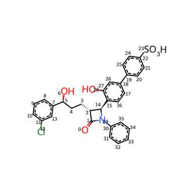 O=C1[C@H](CC[C@H](O)c2cccc(Cl)c2)[C@@H](c2ccc(-c3ccc(S(=O)(=O)O)cc3)cc2O)N1c1ccccc1